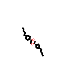 CCCCCc1ccc([C@@H]2CO[C@@H](c3ccc(CCCCC)cc3)CO2)cc1